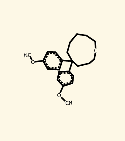 N#COc1ccc(C2(c3ccc(OC#N)cc3)CCCCCCCCC2)cc1